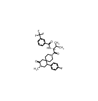 CC(C)[C@@H](NC(=O)c1cccc(C(F)(F)F)c1)C(=O)N1CCC2(CC1)CC(=O)N(C)CC2c1ccc(F)cc1